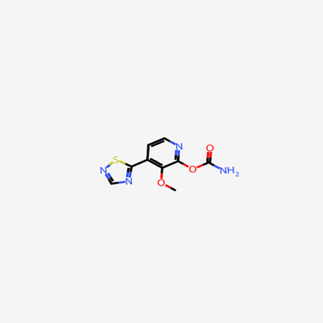 COc1c(-c2ncns2)ccnc1OC(N)=O